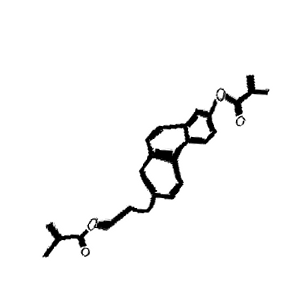 C=C(C)C(=O)Oc1ccc2c(ccc3cc(CCCOC(=O)C(C)C)ccc32)c1